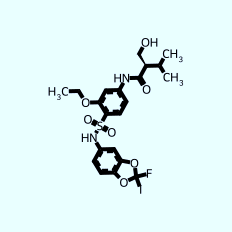 CCOc1cc(NC(=O)[C@@H](CO)C(C)C)ccc1S(=O)(=O)Nc1ccc2c(c1)OC(F)(I)O2